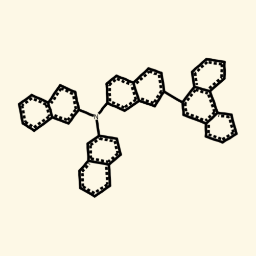 c1ccc2cc(N(c3ccc4ccccc4c3)c3ccc4ccc(-c5cc6ccccc6c6ccccc56)cc4c3)ccc2c1